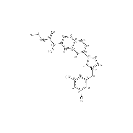 CCNC(=O)N(S)c1ccc2ncc(-c3cnn(Cc4cc(Cl)cc(Cl)c4)c3)nc2n1